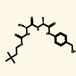 CC(C)[C@H](NC(=O)OCC[Si](C)(C)C)C(=O)N[C@@H](C)C(=O)Nc1ccc(CO)cc1